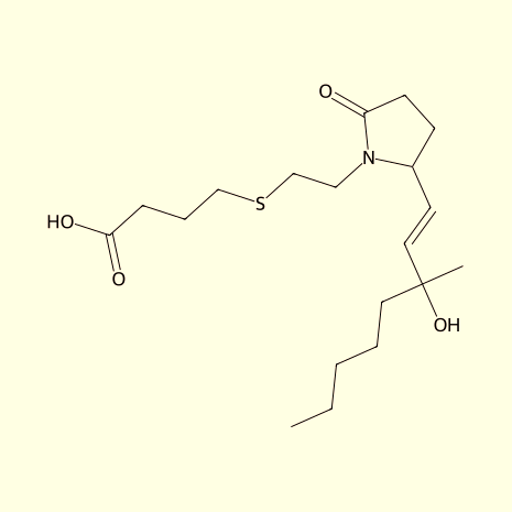 CCCCCC(C)(O)C=CC1CCC(=O)N1CCSCCCC(=O)O